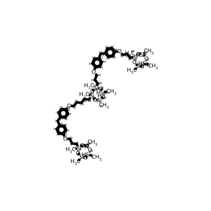 C[SiH]1O[SiH](C)O[Si](C)(CCCOc2ccc(Cc3ccc(OCCCCC[Si]4(C)O[SiH](C)O[SiH](C)O[Si](C)(CCCOc5ccc(Cc6ccc(OCCC[Si]7(C)O[SiH](C)O[SiH](C)O[SiH](C)O7)cc6)cc5)O4)cc3)cc2)O[SiH](C)O1